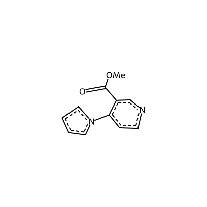 COC(=O)c1cnccc1-n1cccc1